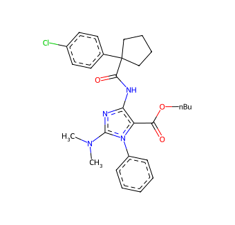 CCCCOC(=O)c1c(NC(=O)C2(c3ccc(Cl)cc3)CCCC2)nc(N(C)C)n1-c1ccccc1